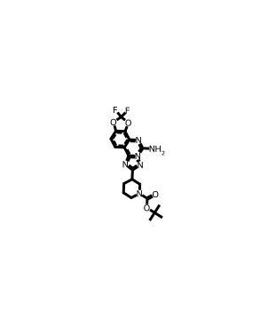 CC(C)(C)OC(=O)N1CCCC(c2nc3c4ccc5c(c4nc(N)n3n2)OC(F)(F)O5)C1